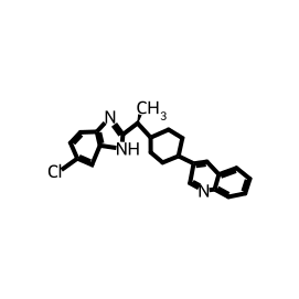 C[C@H](c1nc2ccc(Cl)cc2[nH]1)C1CCC(c2cnc3ccccc3c2)CC1